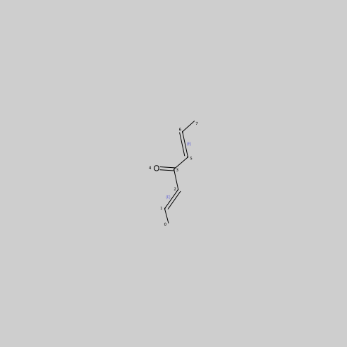 C/C=C/C(=O)/C=C/C